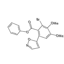 COc1cc(-c2ccno2)c(C(=O)Oc2ccccc2)c(Br)c1OC